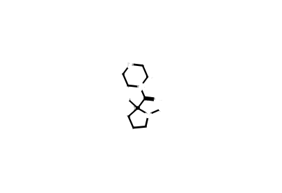 CN1CCCC1(C)C(=O)N1CCNCC1